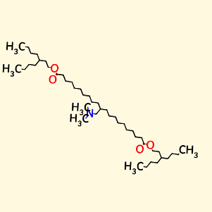 CCCCC(CCCC)CCOC(=O)CCCCCCCCCC(CCCCCCCCCC(=O)OCCC(CCCC)CCCC)CN(C)C